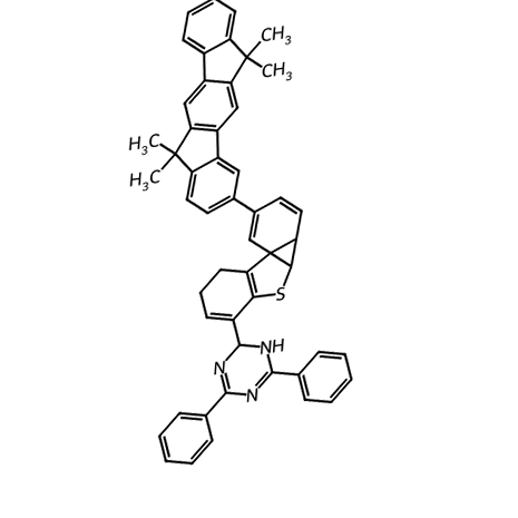 CC1(C)c2ccccc2-c2cc3c(cc21)-c1cc(C2=CC45C6=C(SC4C5C=C2)C(C2N=C(c4ccccc4)N=C(c4ccccc4)N2)=CCC6)ccc1C3(C)C